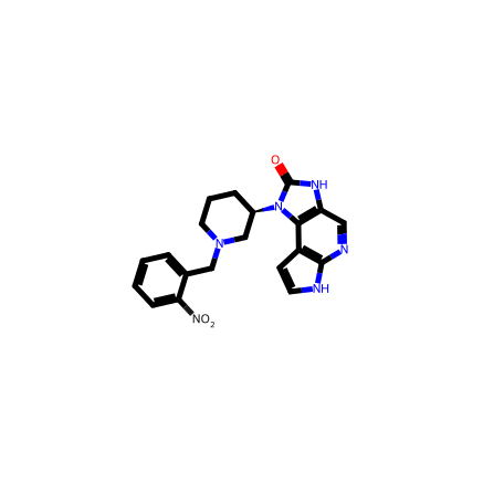 O=c1[nH]c2cnc3[nH]ccc3c2n1[C@@H]1CCCN(Cc2ccccc2[N+](=O)[O-])C1